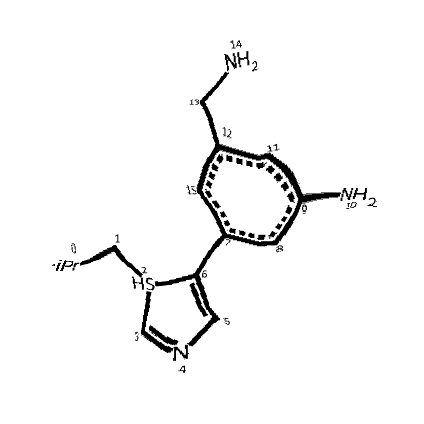 C[C](C)C[SH]1C=NC=C1c1cc(N)cc(CN)c1